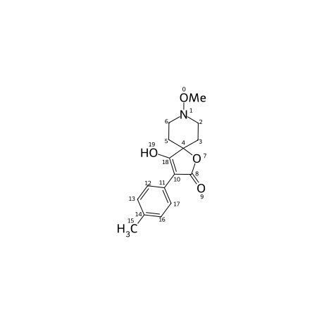 CON1CCC2(CC1)OC(=O)C(c1ccc(C)cc1)=C2O